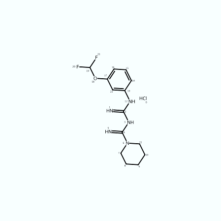 Cl.N=C(NC(=N)N1CCCCC1)Nc1cccc(OC(F)F)c1